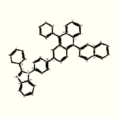 C1=CCCC(c2c3c(c(-c4ccc5ccccc5c4)c4ccccc24)C=CC(c2ccc(-n4c(C5C=CC=CC5)nc5ccccc54)cc2)C3)=C1